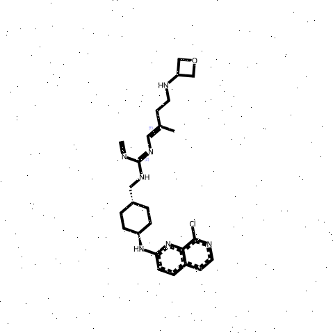 C=N/C(=N\C=C(/C)CCNC1COC1)NC[C@H]1CC[C@H](Nc2ccc3ccnc(Cl)c3n2)CC1